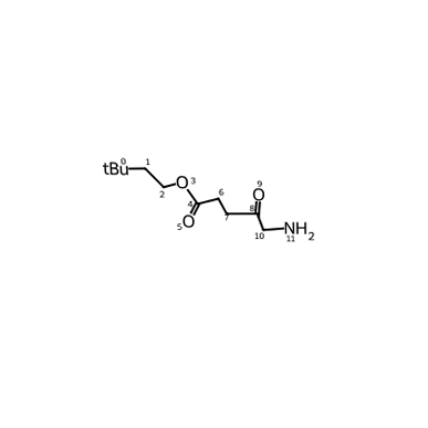 CC(C)(C)CCOC(=O)CCC(=O)CN